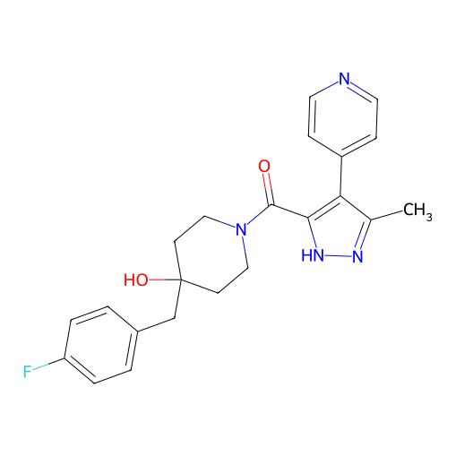 Cc1n[nH]c(C(=O)N2CCC(O)(Cc3ccc(F)cc3)CC2)c1-c1ccncc1